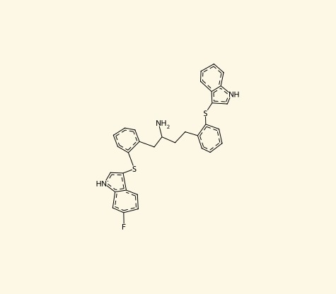 NC(CCc1ccccc1Sc1c[nH]c2ccccc12)Cc1ccccc1Sc1c[nH]c2cc(F)ccc12